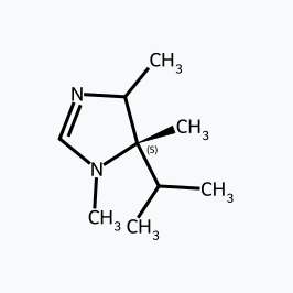 CC(C)[C@@]1(C)C(C)N=CN1C